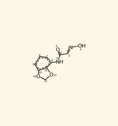 O=C(/C=N/O)Nc1cccc2c1OCO2